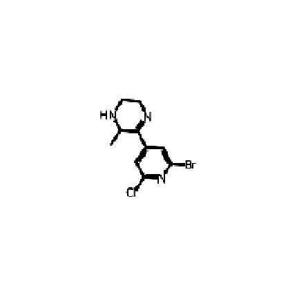 CC1NCCN=C1c1cc(Cl)nc(Br)c1